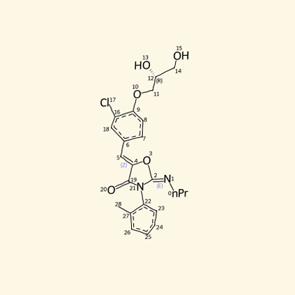 CCC/N=C1/O/C(=C\c2ccc(OC[C@H](O)CO)c(Cl)c2)C(=O)N1c1ccccc1C